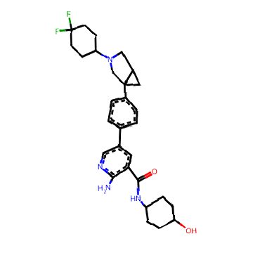 Nc1ncc(-c2ccc(C34CC3CN(C3CCC(F)(F)CC3)C4)cc2)cc1C(=O)NC1CCC(O)CC1